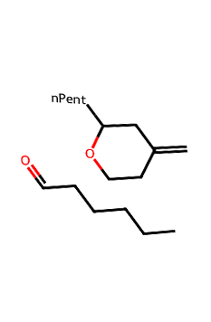 C=C1CCOC(CCCCC)C1.CCCCCC=O